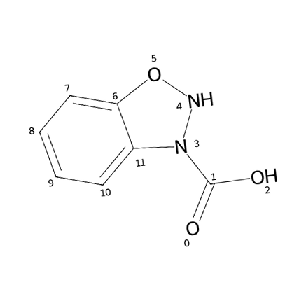 O=C(O)N1NOc2ccccc21